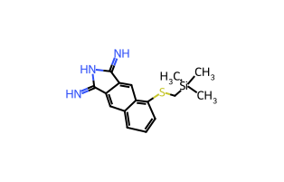 C[Si](C)(C)CSc1cccc2cc3c(cc12)C(=N)NC3=N